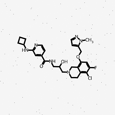 Cn1nccc1COc1cc(F)c(Cl)c2c1CN(CC(O)CNC(=O)c1ccnc(NC3CCC3)c1)CC2